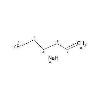 C=CCCCCCC.[NaH]